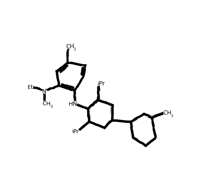 CCN(C)c1cc(C)ccc1NC1C(C(C)C)CC(C2CCCC(C)C2)CC1C(C)C